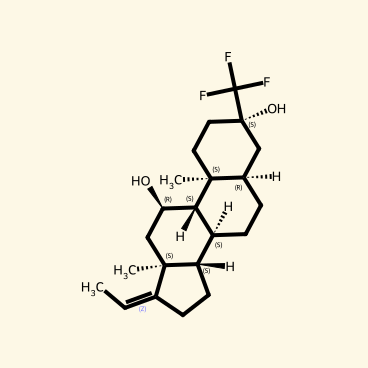 C/C=C1/CC[C@H]2[C@@H]3CC[C@@H]4C[C@](O)(C(F)(F)F)CC[C@]4(C)[C@H]3[C@H](O)C[C@]12C